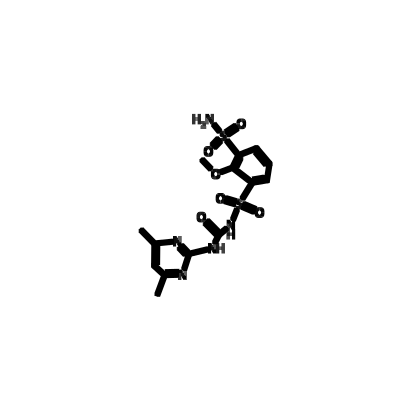 COc1c(S(N)(=O)=O)cccc1S(=O)(=O)NC(=O)Nc1nc(C)cc(C)n1